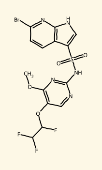 COc1nc(NS(=O)(=O)c2c[nH]c3nc(Br)ccc23)ncc1OC(F)C(F)F